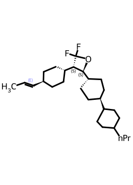 C/C=C/[C@H]1CC[C@H]([C@H]2[C@H]([C@H]3CC[C@H](C4CCC(CCC)CC4)CC3)OC2(F)F)CC1